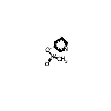 C[N+](=O)[O-].c1ccncc1